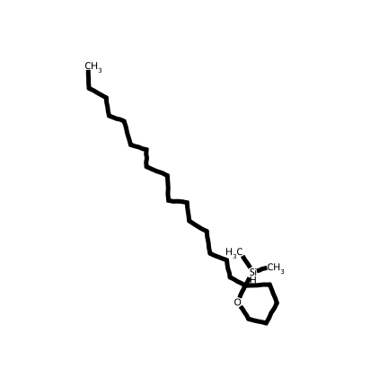 CCCCCCCCCCCCCCCCC1([SiH](C)C)CCCCO1